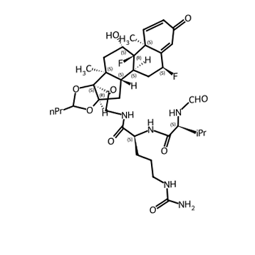 CCCC1O[C@@H]2C[C@H]3[C@@H]4C[C@H](F)C5=CC(=O)C=C[C@]5(C)[C@@]4(F)[C@@H](O)C[C@]3(C)[C@]2(C(=O)CNC(=O)[C@H](CCCNC(N)=O)NC(=O)[C@@H](NC=O)C(C)C)O1